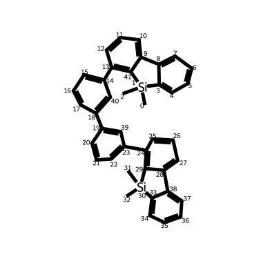 C[Si]1(C)c2ccccc2-c2cccc(-c3cccc(-c4cccc(-c5cccc6c5[Si](C)(C)c5ccccc5-6)c4)c3)c21